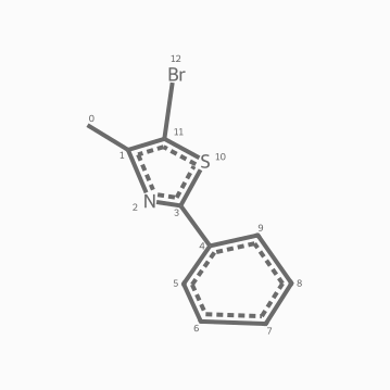 Cc1nc(-c2ccccc2)sc1Br